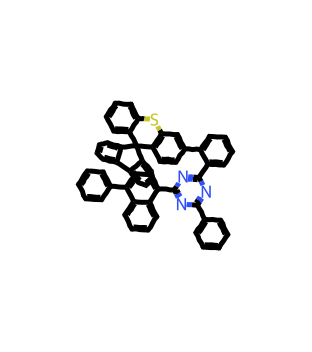 c1ccc(-c2nc(-c3ccccc3-c3ccc4c(c3)Sc3ccccc3C43c4ccccc4-c4ccccc43)nc(-c3ccc(-c4ccccc4)c4ccccc34)n2)cc1